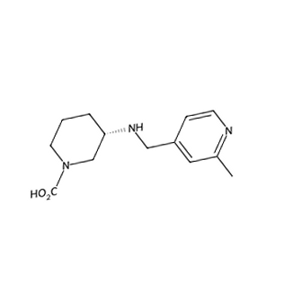 Cc1cc(CN[C@H]2CCCN(C(=O)O)C2)ccn1